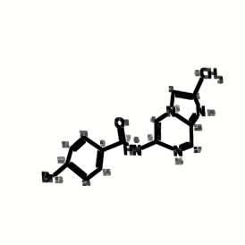 Cc1cn2cc(NC(=O)c3ccc(Br)cc3)ncc2n1